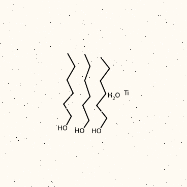 CCCCCCO.CCCCCCO.CCCCCCO.O.[Ti]